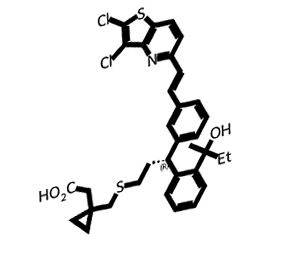 CCC(C)(O)c1ccccc1[C@H](CCSCC1(CC(=O)O)CC1)c1cccc(C=Cc2ccc3sc(Cl)c(Cl)c3n2)c1